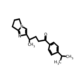 CC(C)c1ccc(C(=O)CCC(C)c2cn3c(n2)CCC3)cc1